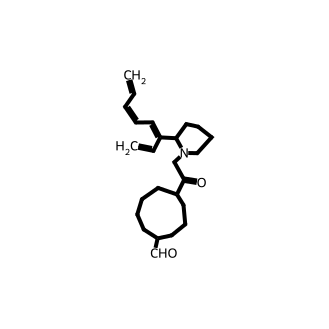 C=C/C=C\C=C(/C=C)C1CCCCN1CC(=O)C1CCCCC(C=O)CCC1